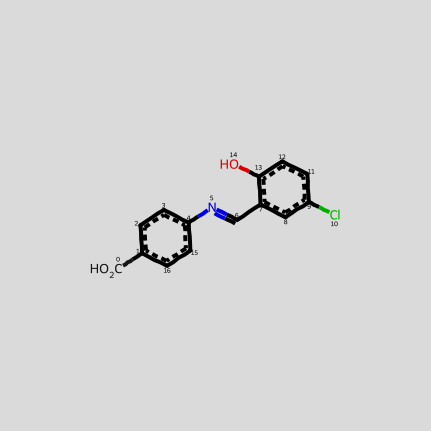 O=C(O)c1ccc(N=Cc2cc(Cl)ccc2O)cc1